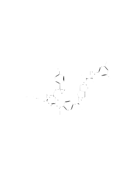 Cc1cc(F)cc(NC(=O)C(=O)N2CC3CN(C(=O)c4ccc(Nc5nc(CC6(c7ccc(Cl)cc7)CC6)nc(OCC(F)(F)F)n5)cc4)CC3C2)c1